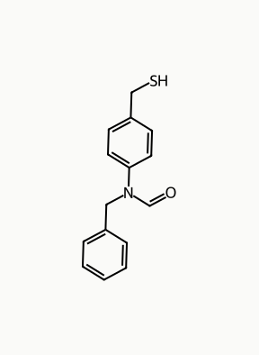 O=CN(Cc1ccccc1)c1ccc(CS)cc1